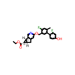 CCOC(=O)[C@H]1[C@@H]2Cc3cc(OCc4cc(-c5ccc(O)cc5F)c(C)cc4F)ncc3[C@@H]21